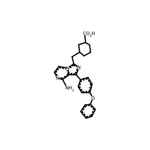 Nc1nccn2c(CC3CCCC(C(=O)O)C3)nc(-c3ccc(Oc4ccccc4)cc3)c12